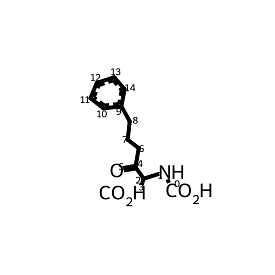 O=C(O)NC(C(=O)O)C(=O)CCCc1ccccc1